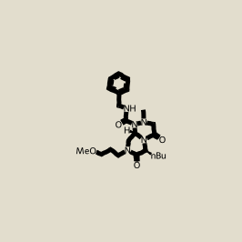 CCCC[C@H]1C(=O)N(CCCOC)C[C@H]2N1C(=O)CN(C)N2C(=O)NCc1ccccc1